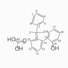 CC(C)(c1ccccc1)c1ccccc1-c1ccccc1O.O=C(O)O